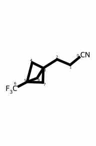 N#CCCC12CC(C(F)(F)F)(C1)C2